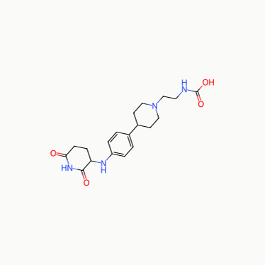 O=C(O)NCCN1CCC(c2ccc(NC3CCC(=O)NC3=O)cc2)CC1